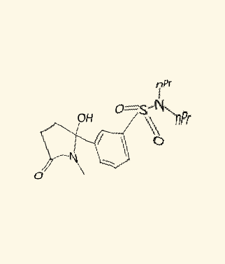 CCCN(CCC)S(=O)(=O)c1cccc(C2(O)CCC(=O)N2C)c1